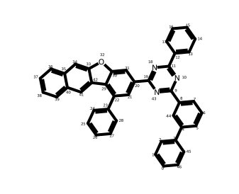 c1ccc(-c2cccc(-c3nc(-c4ccccc4)nc(-c4cc(-c5ccccc5)c5c(c4)oc4cc6ccccc6cc45)n3)c2)cc1